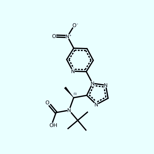 C[C@@H](c1ncnn1-c1ccc([N+](=O)[O-])cn1)N(C(=O)O)C(C)(C)C